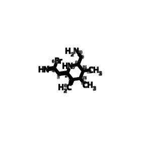 C=C1/C(=C/C(=N)Br)NC(CN)C(C)C1C